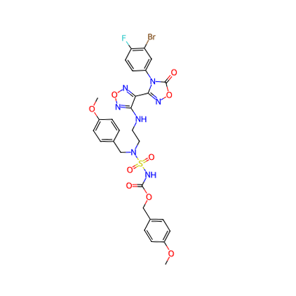 COc1ccc(COC(=O)NS(=O)(=O)N(CCNc2nonc2-c2noc(=O)n2-c2ccc(F)c(Br)c2)Cc2ccc(OC)cc2)cc1